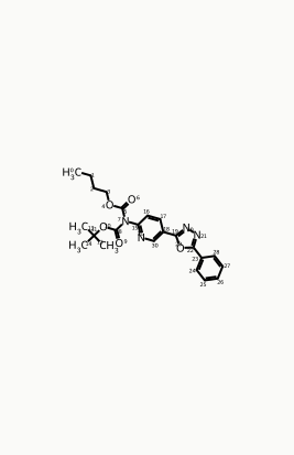 CCCCOC(=O)N(C(=O)OC(C)(C)C)c1ccc(-c2nnc(-c3ccccc3)o2)cn1